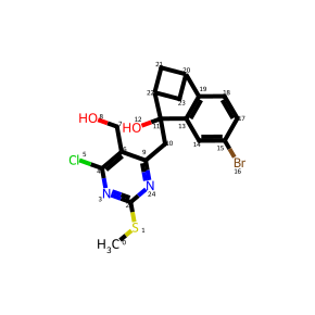 CSc1nc(Cl)c(CO)c(CC2(O)c3cc(Br)ccc3C3CC2C3)n1